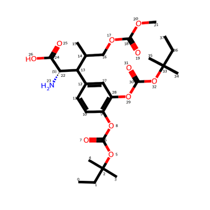 CCC(C)(C)OC(=O)Oc1ccc(C(C(C)COC(=O)OC)[C@H](N)C(=O)O)cc1OC(=O)OC(C)(C)CC